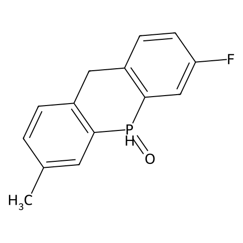 Cc1ccc2c(c1)[PH](=O)c1cc(F)ccc1C2